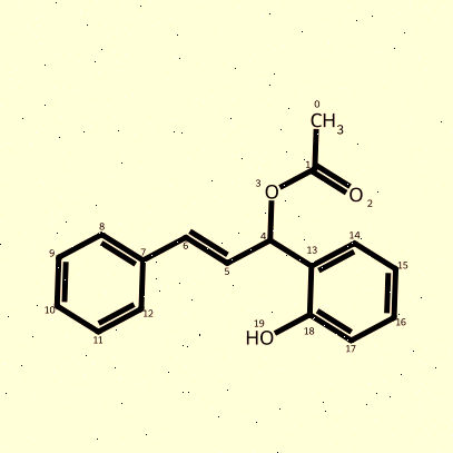 CC(=O)OC(/C=C/c1ccccc1)c1ccccc1O